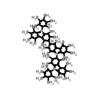 Bc1c(B)c(B)c(-n2c3c(B)c(B)c(B)c(B)c3c3c(B)c(-c4c(B)c(B)c5c(c4B)c4c(B)c(B)c(B)c(B)c4n5-c4c(B)c(B)c5c(c4B)c4c(B)c(B)c(B)c(B)c4n5-c4c(B)c(B)c(B)c(B)c4B)c(B)c(B)c32)c(B)c1B